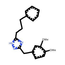 COc1ccc(Cc2n[nH]c([CH]CCc3ccccc3)n2)cc1OC